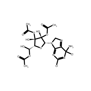 CC(=O)OC(O)[C@H]1O[C@@H](N2CN=C3C2=NC(Cl)=NC3(N)Cl)[C@@](O)(OC(C)=O)[C@@]1(O)OC(C)=O